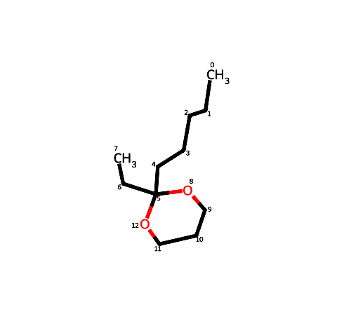 CCCCCC1(CC)OCCCO1